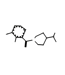 CC(C)C1CCN(C(=O)c2cccc(Cl)c2Cl)CC1